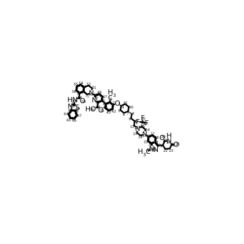 Cc1c(O[C@H]2CC[C@H](CCCCN3CCN(c4ccc5c(C6CCC(=O)NC6=O)nn(C)c5c4)C[C@H]3C(F)(F)F)CC2)cccc1-c1ccc(N2CCc3cccc(C(=O)Nc4nc5ccccc5s4)c3C2)nc1C(=O)O